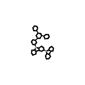 c1ccc(-c2cc(-c3ccccc3)cc(-c3cccc(-n4c5ccccc5c5cc(-n6c7ccccc7c7ccccc76)ccc54)c3)c2)cc1